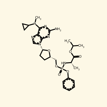 CC(C)OC(=O)[C@H](C)NP(=O)(OC[C@@H]1CC[C@H](n2cnc3c(N(C)C4CC4)nc(N)nc32)O1)Oc1ccccc1